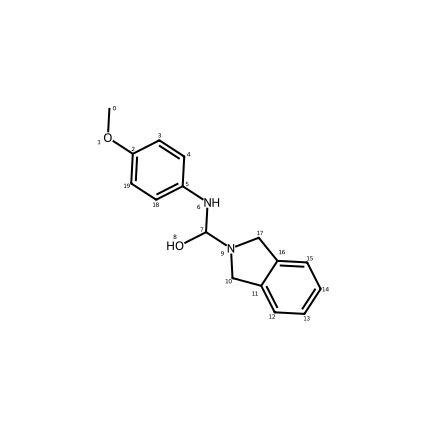 COc1ccc(NC(O)N2Cc3ccccc3C2)cc1